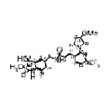 C#Cc1cc(CNC(=O)C=Cc2ccc(C(F)(F)F)nc2N2CCC(OC)C2)cc(F)c1NS(C)(=O)=O